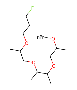 CCCOC(C)COC(C)C(C)OCC(C)OCCCF